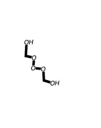 OCOOOCO